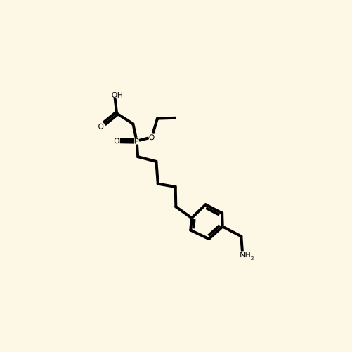 CCOP(=O)(CCCCCc1ccc(CN)cc1)CC(=O)O